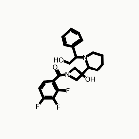 O=C(c1ccc(F)c(F)c1F)N1CC(O)(C2CCCCN2C(CO)c2ccccc2)C1